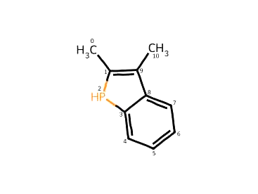 Cc1[pH]c2ccccc2c1C